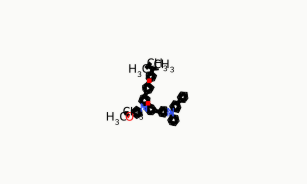 CCC(c1ccc(-c2ccc(-c3ccc4c(c3)c3cc(-c5ccc(N(c6ccccc6)c6ccc(-c7ccccc7)cc6)cc5)ccc3n4-c3ccc(OC(C)C)cc3)cc2)cc1)C(C)C